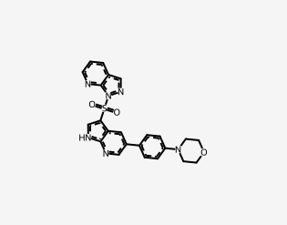 O=S(=O)(c1c[nH]c2ncc(-c3ccc(N4CCOCC4)cc3)cc12)n1ncc2cccnc21